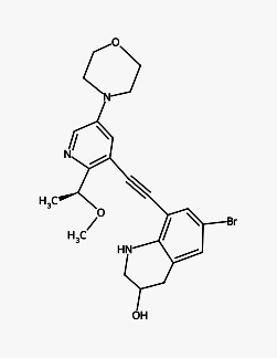 CO[C@@H](C)c1ncc(N2CCOCC2)cc1C#Cc1cc(Br)cc2c1NCC(O)C2